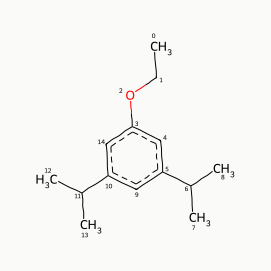 CCOc1cc(C(C)C)cc(C(C)C)c1